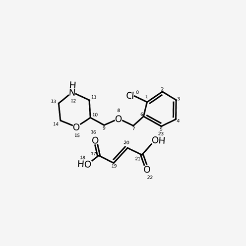 Clc1ccccc1COCC1CNCCO1.O=C(O)C=CC(=O)O